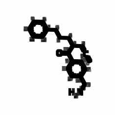 C=C=CC(CCCc1ccccc1)C(=O)c1ccc(CN)cc1